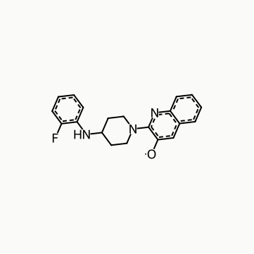 [O]c1cc2ccccc2nc1N1CCC(Nc2ccccc2F)CC1